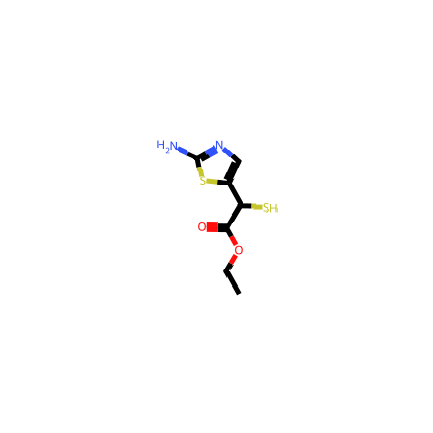 CCOC(=O)C(S)c1cnc(N)s1